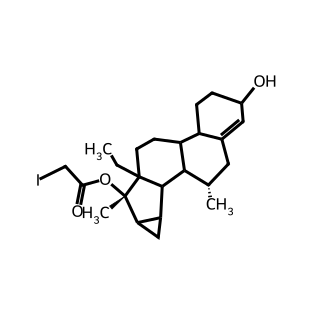 CCC12CCC3C4CCC(O)C=C4C[C@H](C)C3C1C1CC1[C@]2(C)OC(=O)CI